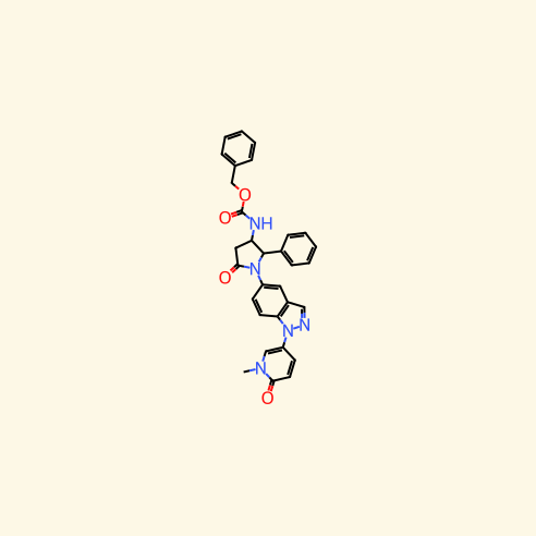 Cn1cc(-n2ncc3cc(N4C(=O)CC(NC(=O)OCc5ccccc5)C4c4ccccc4)ccc32)ccc1=O